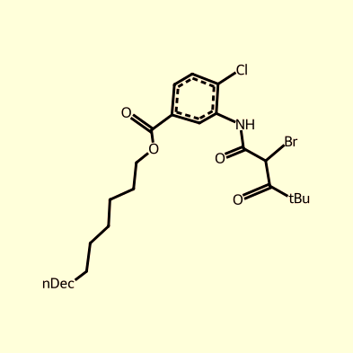 CCCCCCCCCCCCCCCCOC(=O)c1ccc(Cl)c(NC(=O)C(Br)C(=O)C(C)(C)C)c1